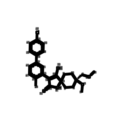 COC[C@]1(OC)CC[C@@]2(CC1)NC(=O)C(c1cc(-c3ccc(Cl)cc3)ccc1C)=C2O